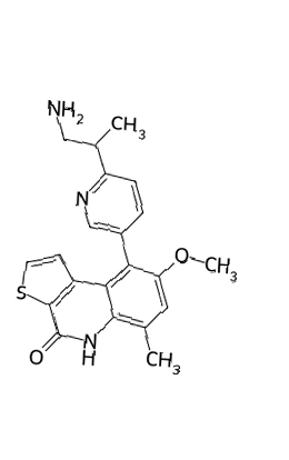 COc1cc(C)c2[nH]c(=O)c3sccc3c2c1-c1ccc(C(C)CN)nc1